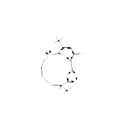 Nc1cc(C(F)(F)F)c2nc1-c1nnc(o1)C(O)(C(F)(F)F)CCCCCS2(=O)=O